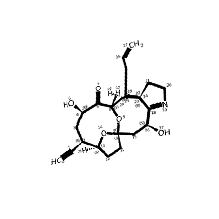 C#C[C@H]1C[C@@H](O)C(=O)[C@H]2O[C@]3(CC[C@@H]1O3)C[C@H](O)C1=NCC[C@@]13CCC(C=C)=C[C@H]23